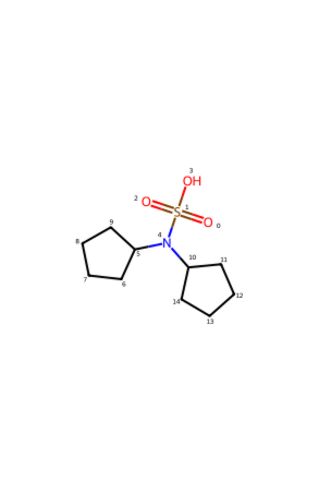 O=S(=O)(O)N(C1CCCC1)C1CCCC1